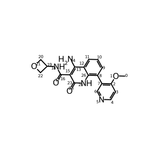 COc1ccncc1-c1cccc2c(N)c(C(=O)NC3COC3)c(=O)[nH]c12